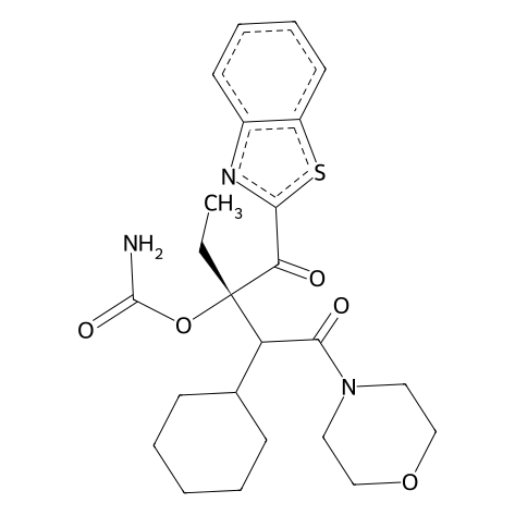 CC[C@@](OC(N)=O)(C(=O)c1nc2ccccc2s1)C(C(=O)N1CCOCC1)C1CCCCC1